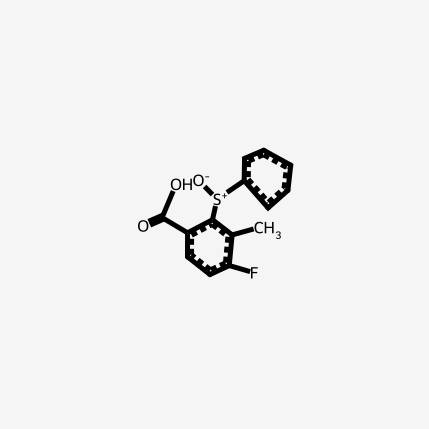 Cc1c(F)ccc(C(=O)O)c1[S+]([O-])c1ccccc1